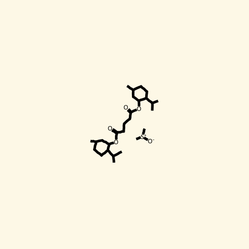 CC1CCC(C(C)C)C(OC(=O)CCCC(=O)OC2CC(C)CCC2C(C)C)C1.C[S+](C)[O-]